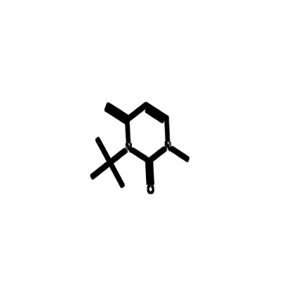 C=C1C=CN(C)C(=O)N1C(C)(C)C